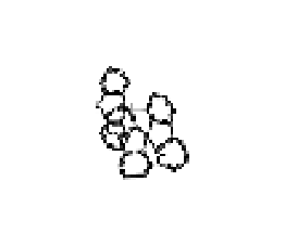 c1ccc2c(c1)Sc1ccccc1N2c1cccc2c1C1(c3ccccc3-c3ccccc31)c1ccccc1-2